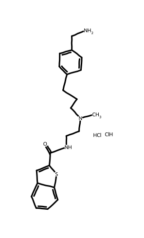 CN(CCCc1ccc(CN)cc1)CCNC(=O)c1cc2ccccc2s1.Cl.Cl